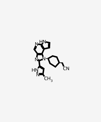 Cc1cc(-c2nc3cnc4[nH]ccc4c3n2[C@H]2CC[C@H](CC#N)CC2)[nH]n1